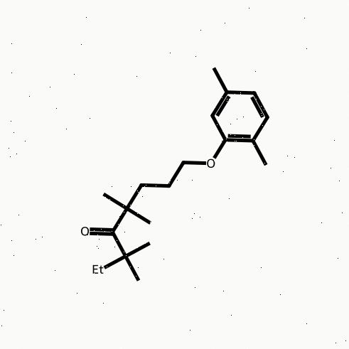 CCC(C)(C)C(=O)C(C)(C)CCCOc1cc(C)ccc1C